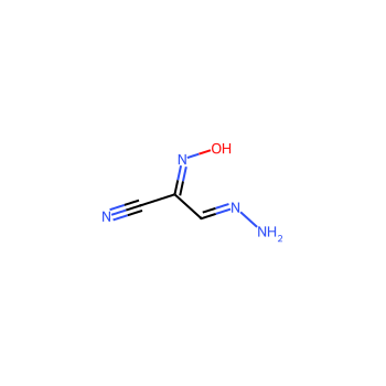 N#CC(C=NN)=NO